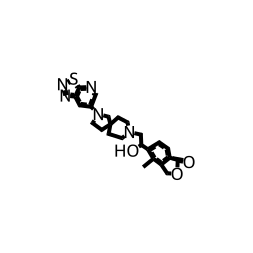 Cc1c(C(O)CN2CCC3(CC2)CCN(c2cnc4snnc4c2)C3)ccc2c1COC2=O